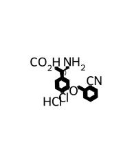 Cl.N#Cc1ccccc1COc1cc([C@H](CN)CC(=O)O)ccc1Cl